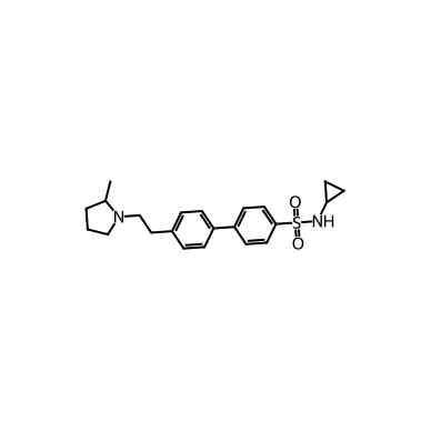 CC1CCCN1CCc1ccc(-c2ccc(S(=O)(=O)NC3CC3)cc2)cc1